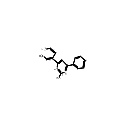 C/C=C\C(=C/C)c1cc(-c2ccccc2)nc(Br)n1